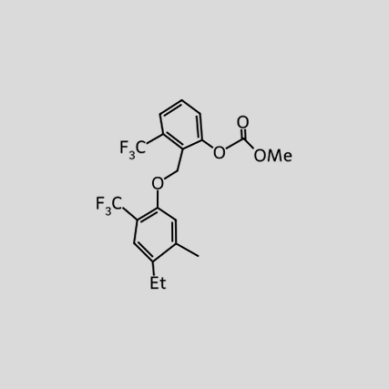 CCc1cc(C(F)(F)F)c(OCc2c(OC(=O)OC)cccc2C(F)(F)F)cc1C